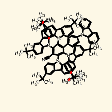 CC(C)(C)c1ccc2c(c1)c1cc(C(C)(C)C)ccc1n2-c1c(C#N)c(-n2c3ccc(C(C)(C)C)cc3c3cc(C(C)(C)C)ccc32)c(-n2c3ccc(C(C)(C)C)cc3c3cc(C(C)(C)C)ccc32)c(-c2ccc(-n3c4cnccc4c4ccncc43)cc2)c1-n1c2ccc(C(C)(C)C)cc2c2cc(C(C)(C)C)ccc21